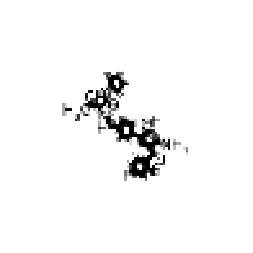 CC(C)[C@H](NCCc1ccc(-c2cc(C(=O)c3ccc(F)cc3F)c(N)[nH]c2=O)cc1)C(=O)OC1CCCC1